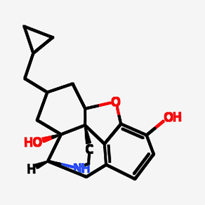 Oc1ccc2c3c1OC1CC(CC4CC4)C[C@@]4(O)[C@@H](C2)NCC[C@]314